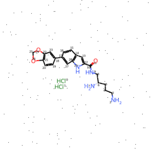 Cl.Cl.NCCC[C@H](N)CNC(=O)c1cc2ccc(-c3ccc4c(c3)OCO4)cc2[nH]1